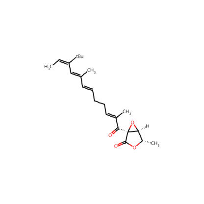 C\C=C(/C=C(C)/C=C/CC/C=C(\C)C(=O)[C@]12O[C@H]1[C@H](C)OC2=O)C(C)(C)C